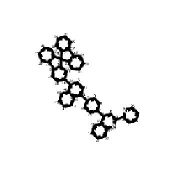 c1ccc(-c2cc(-c3ccc(-c4ccc(-c5ccc6c(c5)C5(c7ccccc7-c7ccccc75)c5ccccc5-6)c5ccccc45)cc3)c3ccccc3n2)nc1